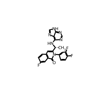 C[C@@H](Nc1ncnc2[nH]cnc12)c1cc2ccc(F)cc2c(=O)n1-c1ccc(F)c(F)c1